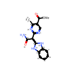 COC(=O)c1cnc(C(C(N)=O)=C2Nc3ccccc3N2)nc1C(F)(F)F